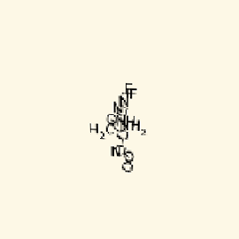 C=C(C(=O)Nc1ccc(N2CCC(F)(F)C2)nc1)c1cc(-c2cncc(Oc3ccccc3)c2)ccc1N